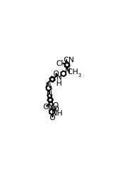 CN(c1ccc(C#N)c(Cl)c1)[C@H]1CC[C@H](NC(=O)c2ccc(CN3CCC(N4Cc5cc6c(cc5C4)C(=O)N([C@@H]4CCC(=O)NC4=O)C6=O)CC3)cc2)CC1